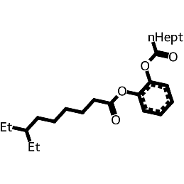 CCCCCCCC(=O)Oc1ccccc1OC(=O)CCCCCC(CC)CC